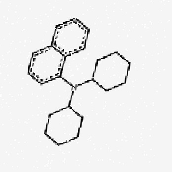 c1ccc2c(N(C3CCCCC3)C3CCCCC3)cccc2c1